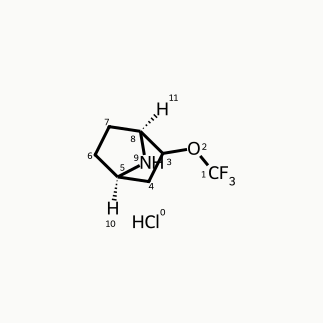 Cl.FC(F)(F)OC1C[C@H]2CC[C@@H]1N2